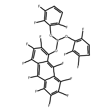 Fc1ccc(F)c(OB(Oc2c(F)ccc(F)c2F)Oc2c(F)c(F)c(F)c3c(F)c4c(F)c(F)c(F)c(F)c4c(F)c23)c1F